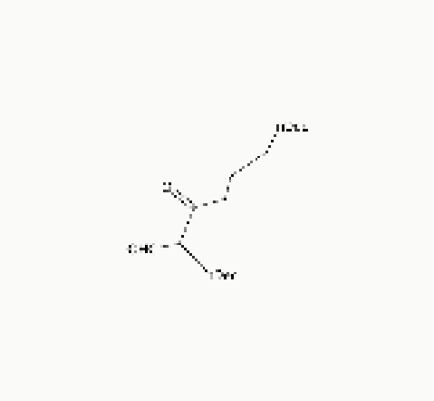 CCCCCCCCCCCCCC(=O)C([C]=O)CCCCCCCCCC